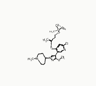 CCOc1nn(C2CCN(C)CC2)cc1-c1cnc(Cl)cc1OC(C)CCO[Si](C)(C)C(C)(C)C